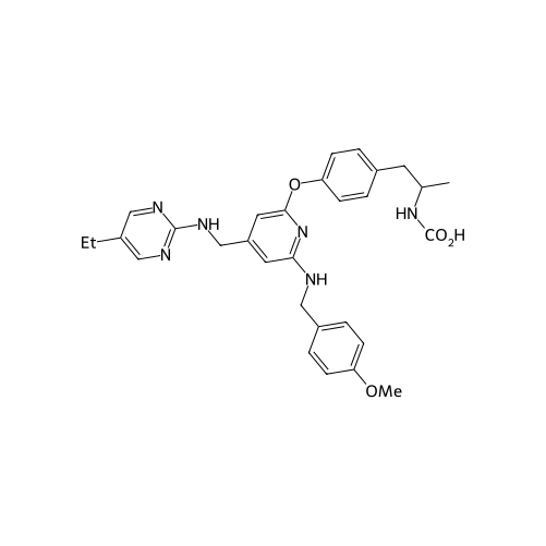 CCc1cnc(NCc2cc(NCc3ccc(OC)cc3)nc(Oc3ccc(CC(C)NC(=O)O)cc3)c2)nc1